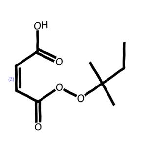 CCC(C)(C)OOC(=O)/C=C\C(=O)O